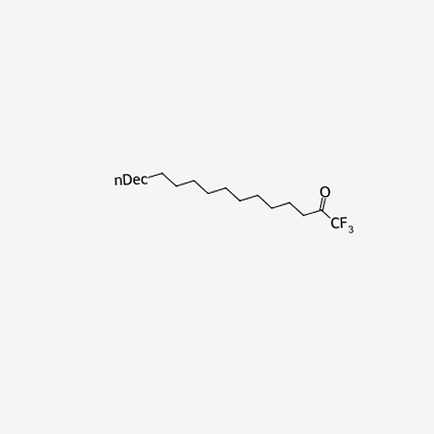 CCCCCCCCCCCCCCCCCCCCC(=O)C(F)(F)F